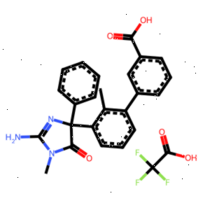 Cc1c(-c2cccc(C(=O)O)c2)cccc1C1(c2ccccc2)N=C(N)N(C)C1=O.O=C(O)C(F)(F)F